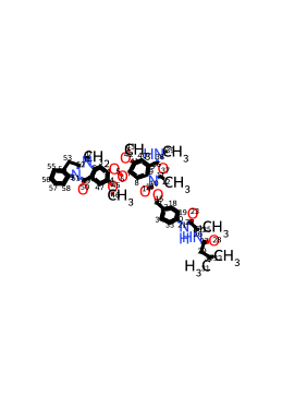 C=Nc1cc(OOc2cc(N(CC)C(=O)OCc3ccc(NC(=O)[C@H](C)NC(=O)CC(C)C)cc3)c(C(=O)NC)cc2OC)c(OC)cc1C(=O)N1CCc2ccccc21